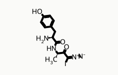 C[C@H](NC(=O)[C@@H](N)Cc1ccc(O)cc1)C(=O)C(I)=[N+]=[N-]